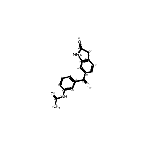 CC(=O)Nc1cccc(C(=O)c2ccc3c(c2)NC(=O)C3)c1